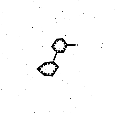 Clc1[c]c(-c2ccccc2)ccc1